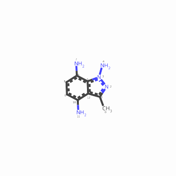 Cc1nn(N)c2c(N)ccc(N)c12